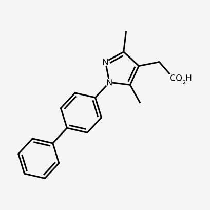 Cc1nn(-c2ccc(-c3ccccc3)cc2)c(C)c1CC(=O)O